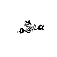 Cc1cc(CNc2nc(NC3(C(F)(F)F)CC3)c3nc(-c4ccc(F)cc4)ccc3n2)ccc1F